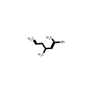 C=CCC(C)C=C(C)CCC